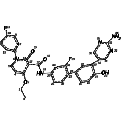 CCOc1ccn(-c2ccc(F)cc2)c(=O)c1C(=O)Nc1ccc(-c2ccc(O)c(-c3cnc(N)nc3)c2)c(F)c1